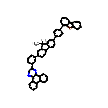 CC1(C)c2cc(-c3ccc(-c4cccc5c4sc4ccccc45)cc3)ccc2-c2ccc(-c3cccc(-c4cnc5c6ccccc6c6ccccc6c5n4)c3)cc21